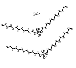 CCCCCCCCCCCCOP(=O)([O-])OCCCCCCCCCCCC.CCCCCCCCCCCCOP(=O)([O-])OCCCCCCCCCCCC.[Ca+2]